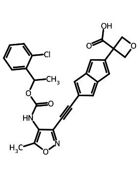 Cc1onc(C#CC2=CC3=CC(C4(C(=O)O)COC4)=CC3=C2)c1NC(=O)OC(C)c1ccccc1Cl